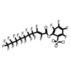 O=C(Oc1c(F)c(F)c(F)c(F)c1S(=O)(=O)Cl)C(F)=C(F)C(F)(F)C(F)(F)C(F)(F)C(F)(F)C(F)(F)C(F)(F)C(F)(F)F